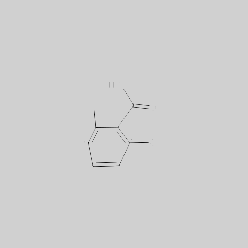 CC(=O)c1c(C)cccc1F